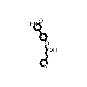 O=c1cc(-c2ccc(OC[C@H](O)CCc3cccnc3)cc2)cc[nH]1